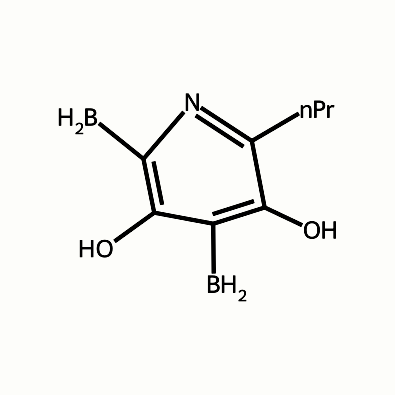 Bc1nc(CCC)c(O)c(B)c1O